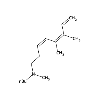 C=C/C(C)=C(C)\C=C/CCN(C)CCCC